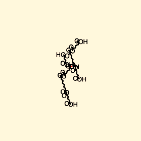 O=C(O)CCC(=O)O.O=C(O)CCCC(=O)OC(=O)CCCCCCC(=O)OC(=O)CCCC(=O)O.O=C(O)CCCC(=O)OC(=O)CCCCCCC(=O)OC(=O)CCCC(=O)O